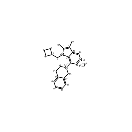 Cc1c(C)n(CC2CCC2)c2c(N3CCc4ccccc4C3)cncc12.Cl